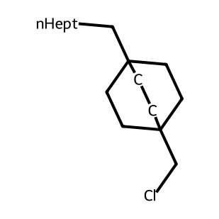 CCCCCCCCC12CCC(CCl)(CC1)CC2